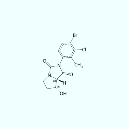 Cc1c(N2C(=O)[C@@H]3[C@H](O)CCN3C2=O)ccc(Br)c1Cl